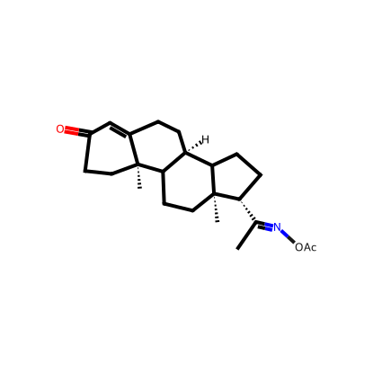 CC(=O)O/N=C(\C)[C@H]1CCC2[C@@H]3CCC4=CC(=O)CC[C@]4(C)C3CC[C@@]21C